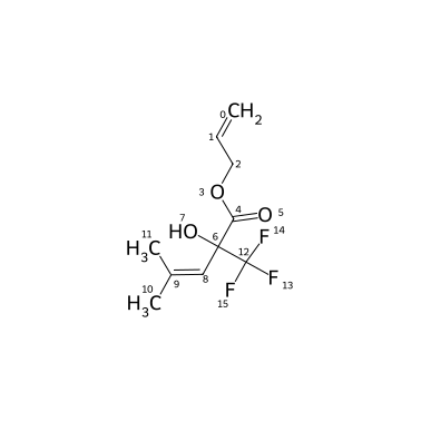 C=CCOC(=O)C(O)(C=C(C)C)C(F)(F)F